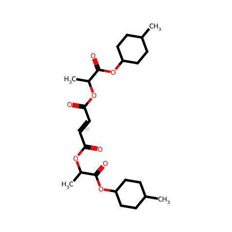 CC1CCC(OC(=O)C(C)OC(=O)/C=C/C(=O)OC(C)C(=O)OC2CCC(C)CC2)CC1